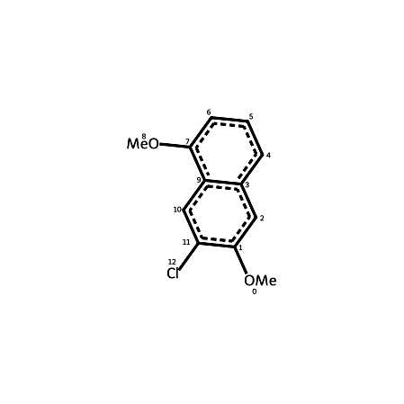 COc1cc2cccc(OC)c2cc1Cl